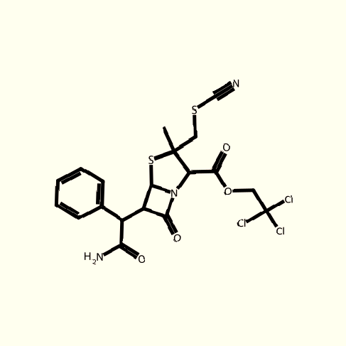 CC1(CSC#N)SC2C(C(C(N)=O)c3ccccc3)C(=O)N2C1C(=O)OCC(Cl)(Cl)Cl